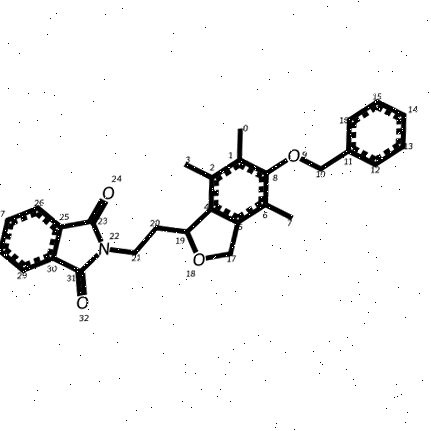 Cc1c(C)c2c(c(C)c1OCc1ccccc1)COC2CCN1C(=O)c2ccccc2C1=O